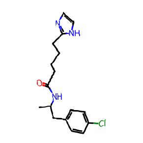 CC(Cc1ccc(Cl)cc1)NC(=O)CCCCc1ncc[nH]1